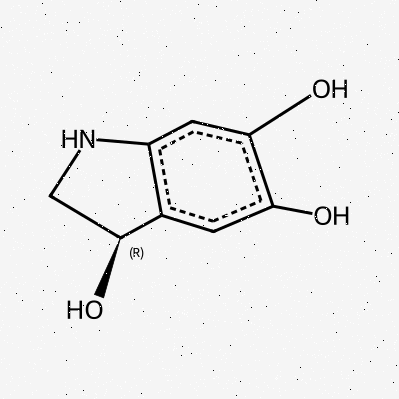 Oc1cc2c(cc1O)[C@@H](O)CN2